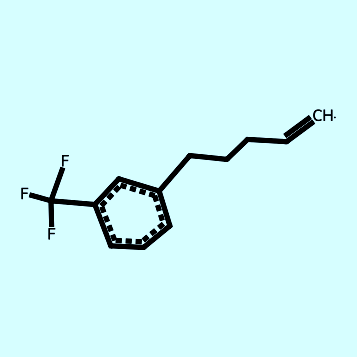 [CH]=CCCCc1cccc(C(F)(F)F)c1